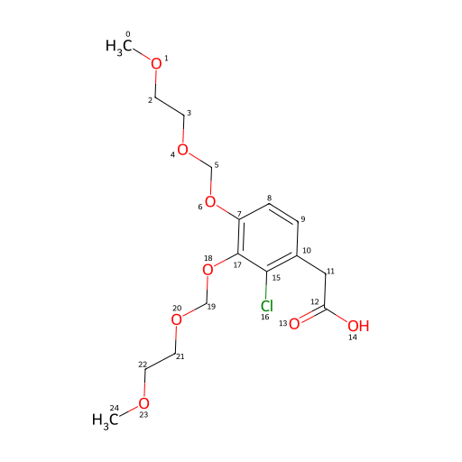 COCCOCOc1ccc(CC(=O)O)c(Cl)c1OCOCCOC